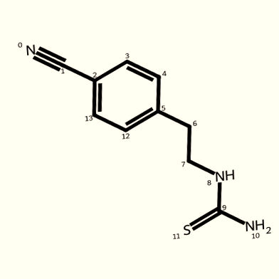 N#Cc1ccc(CCNC(N)=S)cc1